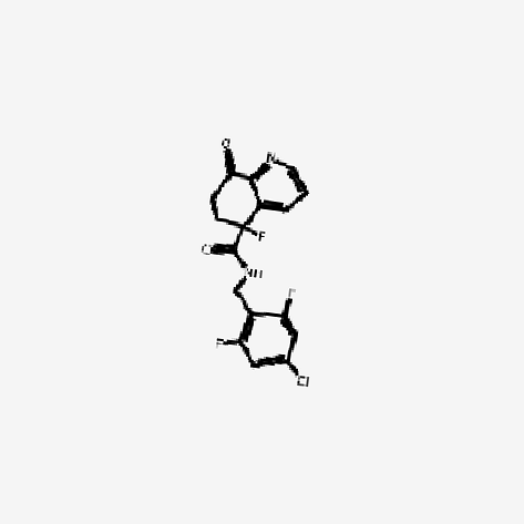 O=C1CC[C@@](F)(C(=O)NCc2c(F)cc(Cl)cc2F)c2cccnc21